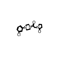 O=C(CN1CCCC1=O)N1CCN(c2cccc(Cl)c2)CC1